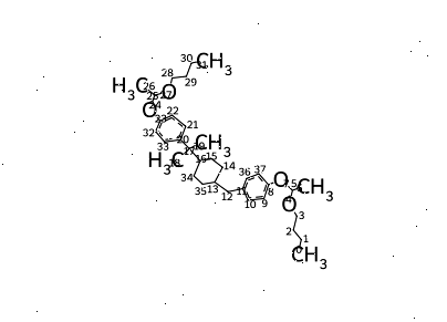 CCCCOC(C)Oc1ccc(CC2CCC(C(C)(C)c3ccc(OC(C)OCCCC)cc3)CC2)cc1